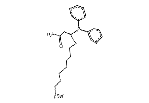 CCCCCCCCCCCCCCCCCCC(CC(N)=O)P(c1ccccc1)c1ccccc1